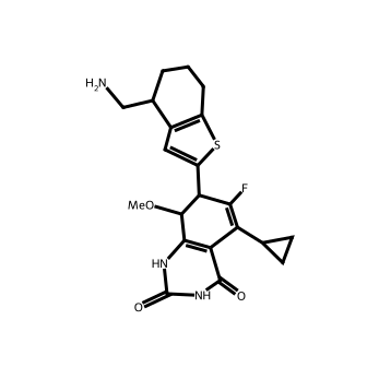 COC1c2[nH]c(=O)[nH]c(=O)c2C(C2CC2)=C(F)C1c1cc2c(s1)CCCC2CN